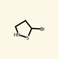 BrC1[CH]CNS1